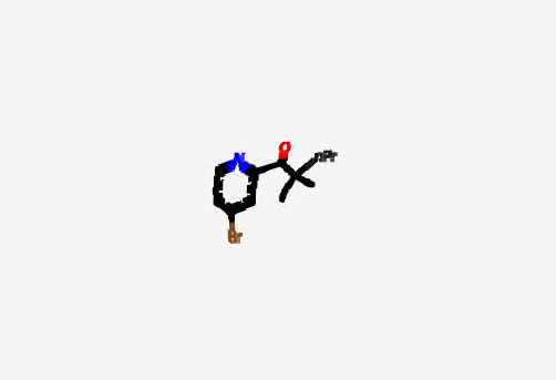 CCCC(C)(C)C(=O)c1cc(Br)ccn1